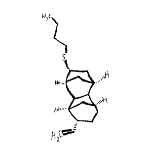 C=C[C@H]1C[C@H]2C[C@@H]1C1C2[C@@H]2C[C@H](SCCCC)[C@H]1C2